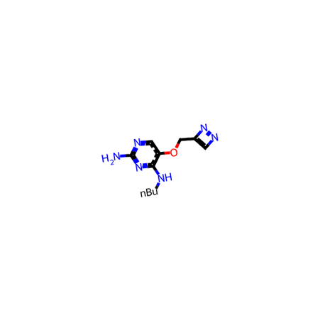 CCCCNc1nc(N)ncc1OCC1=CN=N1